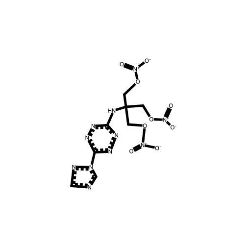 O=[N+]([O-])OCC(CO[N+](=O)[O-])(CO[N+](=O)[O-])Nc1nnc(-n2cncn2)nn1